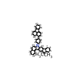 CC1(C)c2ccccc2-c2cc3c(cc21)c1c2ccccc2ccc1n3-c1ccc(-c2ccc3c4c(cccc24)-c2ccccc2-3)cc1